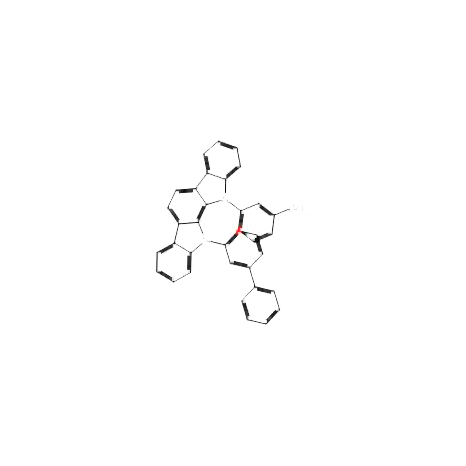 Bc1cccc(-n2c3ccccc3c3ccc4c5ccccc5n(-c5cccc(-c6ccccc6)c5)c4c32)c1